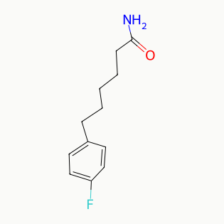 NC(=O)CCCCCc1ccc(F)cc1